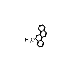 CC1Cc2c3c(ccc2=C2C=CCC=C21)=CC=CC3